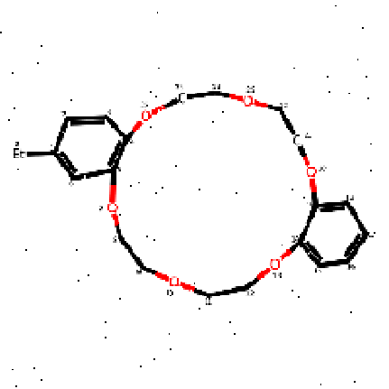 CCc1ccc2c(c1)OCCOCCOc1ccccc1OCCOCCO2